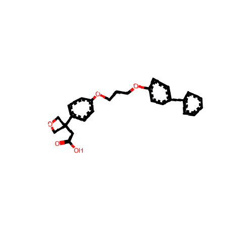 O=C(O)CC1(c2ccc(OCCCOc3ccc(-c4ccccc4)cc3)cc2)COC1